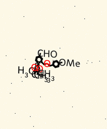 COc1ccc(COCc2cc(C=O)ccc2B2OC(C)(C)C(C)(C)O2)cc1